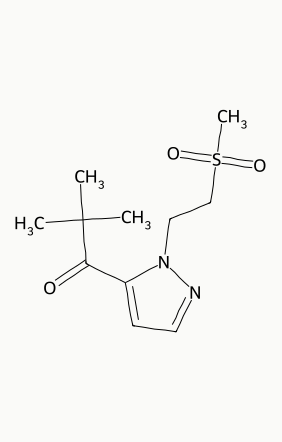 CC(C)(C)C(=O)c1ccnn1CCS(C)(=O)=O